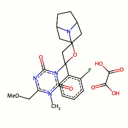 COCc1nc(=O)n(CCCN2C3CCC2CC(OCc2ccccc2F)C3)c(=O)n1C.O=C(O)C(=O)O